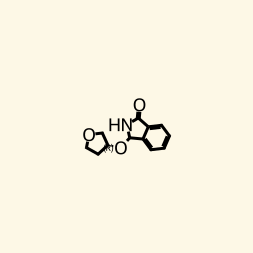 O=C1NC(O[C@@H]2CCOC2)c2ccccc21